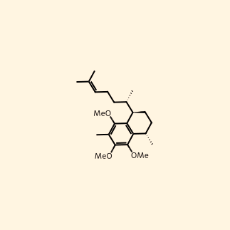 COc1c(C)c(OC)c2c(c1OC)[C@@H](C)CC[C@@H]2[C@@H](C)CCC=C(C)C